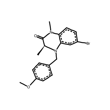 COc1ccc(CN2c3cc(Br)ccc3N(C)C(=O)[C@@H]2C)cc1